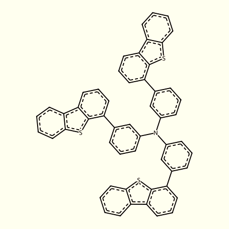 c1cc(-c2cccc3c2sc2ccccc23)cc(N(c2cccc(-c3cccc4c3sc3ccccc34)c2)c2cccc(-c3cccc4c3sc3ccccc34)c2)c1